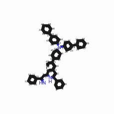 N=C(/C=C1\NC(c2ccccc2)=Cc2cc(-c3ccc(N(c4ccc(-c5ccccc5)cc4)c4ccc(-c5ccccc5)cc4)cc3)ccc21)c1ccccc1